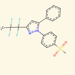 CS(=O)(=O)c1ccc(-n2nc(C(F)(F)C(F)(F)C(F)(F)F)cc2-c2ccccc2)cc1